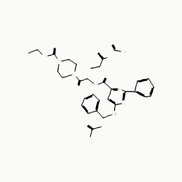 CCOC(=O)N1CCN(C(=O)[C@H](CCC(=O)O)NC(=O)c2cc(N[C@H](CC(=O)O)c3ccccc3)nc(-c3ccccc3)n2)CC1.O=CO